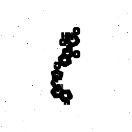 O=C1CCC(N2Cc3cc(O[C@H]4CCN(Cc5ccc6cnccc6n5)C4)ccc3C2=O)C(=O)N1